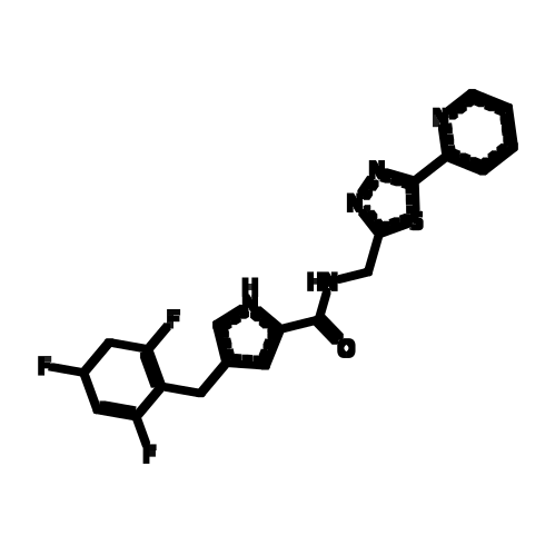 O=C(NCc1nnc(-c2ccccn2)s1)c1cc(CC2=C(F)CC(F)C=C2F)c[nH]1